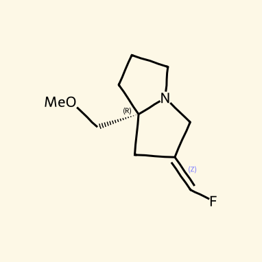 COC[C@]12CCCN1C/C(=C\F)C2